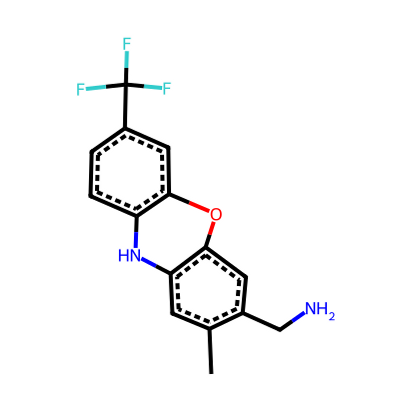 Cc1cc2c(cc1CN)Oc1cc(C(F)(F)F)ccc1N2